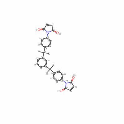 CC(C)(c1ccc(N2C(=O)C=CC2=O)cc1)c1cccc(C(C)(C)c2ccc(N3C(=O)C=CC3=O)cc2)c1